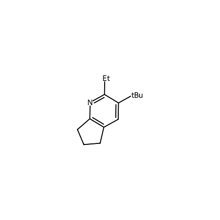 CCc1nc2c(cc1C(C)(C)C)CCC2